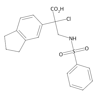 O=C(O)C(Cl)(CNS(=O)(=O)c1ccccc1)c1ccc2c(c1)CCC2